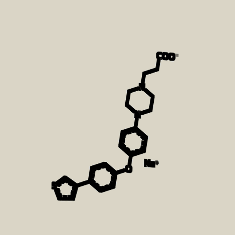 O=C([O-])CCN1CCN(c2ccc(Oc3ccc(-c4ccsc4)cc3)cc2)CC1.[Na+]